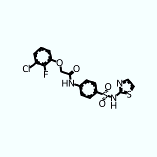 O=C(COc1cccc(Cl)c1F)Nc1ccc(S(=O)(=O)Nc2nccs2)cc1